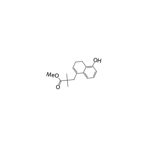 COC(=O)C(C)(C)CC1=CCCc2c(O)cccc21